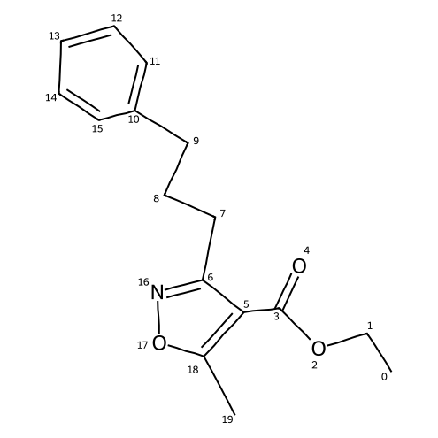 CCOC(=O)c1c(CCCc2ccccc2)noc1C